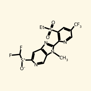 CCS(=O)(=O)c1cc(C(F)(F)F)cnc1-c1nc2cc([S+]([O-])C(F)F)ncc2n1C